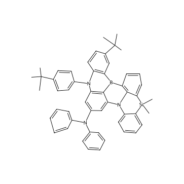 CC(C)(C)c1ccc(N2c3ccc(C(C)(C)C)cc3B3c4cccc5c4N(c4ccccc4[Si]5(C)C)c4cc(N(c5ccccc5)c5ccccc5)cc2c43)cc1